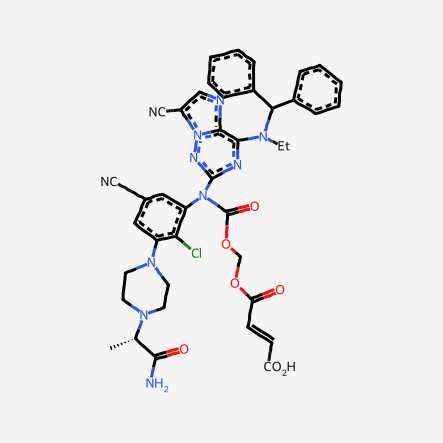 CCN(c1nc(N(C(=O)OCOC(=O)/C=C/C(=O)O)c2cc(C#N)cc(N3CCN([C@@H](C)C(N)=O)CC3)c2Cl)nn2c(C#N)cnc12)C(c1ccccc1)c1ccccc1